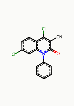 N#Cc1c(Cl)c2ccc(Cl)cc2n(-c2ccccc2)c1=O